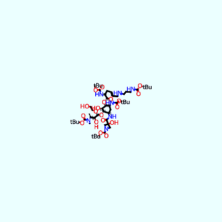 C[C@@H]([C@@H](O)[C@H](OCCO)O[C@@H]1[C@@H](O)[C@H](O[C@H]2OC(CNCCCNC(=O)OC(C)(C)C)=CC[C@H]2NC(=O)OC(C)(C)C)[C@@H](NC(=O)OC(C)(C)C)C[C@H]1NC(=O)C1(O)CN(C(=O)OC(C)(C)C)C1)N(C)C(=O)OC(C)(C)C